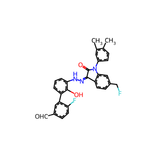 Cc1ccc(N2C(=O)/C(=N\Nc3cccc(-c4cc(C=O)ccc4F)c3O)c3ccc(CF)cc32)cc1C